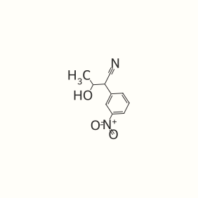 CC(O)C(C#N)c1cccc([N+](=O)[O-])c1